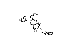 CCCC(C)CCc1ncc2cc(-c3cnco3)c(OCC)cc2n1